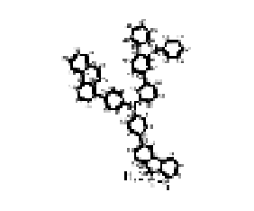 CC1(C)c2ccccc2-c2cc(-c3ccc(N(c4ccc(-c5cccc6c5ccc5ccccc56)cc4)c4cccc(-c5ccc6c7ccccc7n(-c7ccccc7)c6c5)c4)cc3)ccc21